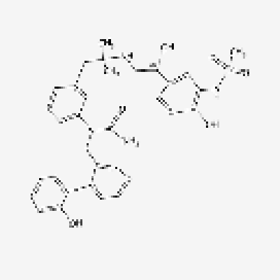 CC(C)(Cc1cccc(C(Cc2ccccc2-c2ccccc2O)C(N)=O)c1)NC[C@H](O)c1ccc(O)c(NS(C)(=O)=O)c1